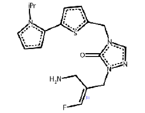 CC(C)n1cccc1-c1ccc(Cn2cnn(C/C(=C/F)CN)c2=O)s1